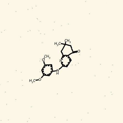 COc1cc(Nc2ccc3c(n2)CC(C)(C)CC3=O)cc(OC)c1